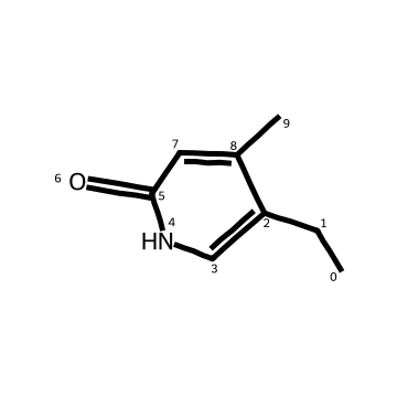 CCc1c[nH]c(=O)cc1C